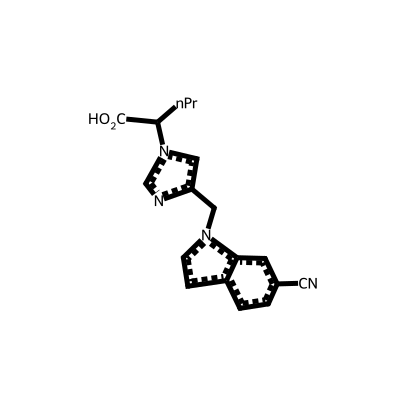 CCCC(C(=O)O)n1cnc(Cn2ccc3ccc(C#N)cc32)c1